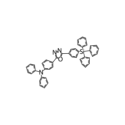 c1ccc(N(c2ccccc2)c2ccc(-c3nnc(-c4ccc([Si](c5ccccc5)(c5ccccc5)c5ccccc5)cc4)o3)cc2)cc1